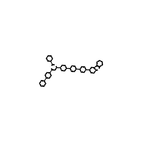 c1ccc(-c2ccc(-c3cc(-c4ccc(-c5ccc(-c6ccc(-c7ccc8oc9ccccc9c8c7)cc6)cc5)cc4)nc(-c4ccccc4)n3)cc2)cc1